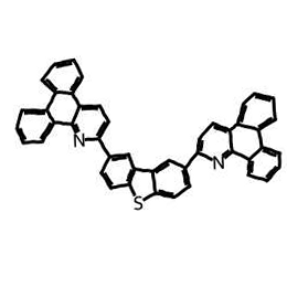 c1ccc2c(c1)c1ccccc1c1nc(-c3ccc4sc5ccc(-c6ccc7c8ccccc8c8ccccc8c7n6)cc5c4c3)ccc21